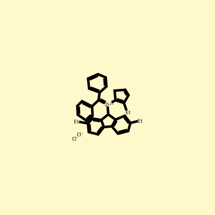 CCC1=[C]([Zr+2](=[C](c2ccccc2)c2ccccc2)[CH]2c3cc(CC)ccc3-c3ccc(CC)cc32)CC=C1.[Cl-].[Cl-]